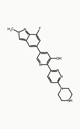 Cn1cc2cc(-c3cnc(-c4ccc(N5CCNCC5)nn4)c(O)c3)cc(F)c2n1